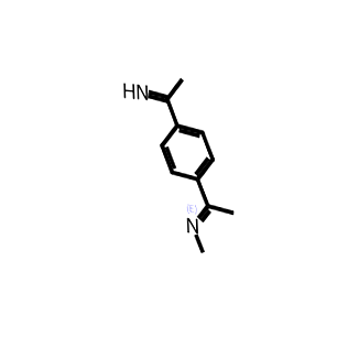 C/N=C(\C)c1ccc(C(C)=N)cc1